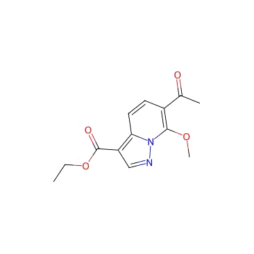 CCOC(=O)c1cnn2c(OC)c(C(C)=O)ccc12